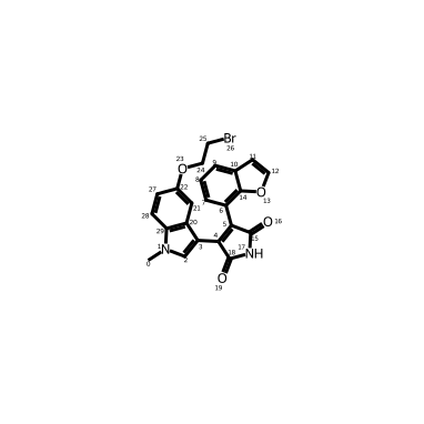 Cn1cc(C2=C(c3cccc4ccoc34)C(=O)NC2=O)c2cc(OCCBr)ccc21